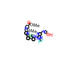 COC(=O)C1CCN(Cc2ccc(-c3cccc(-c4cccc(Nc5nc(C(F)F)nc6cc(CN7CC[C@@H](O)C7)cnc56)c4C)c3Cl)nc2OC)CC1